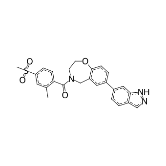 Cc1cc(S(C)(=O)=O)ccc1C(=O)N1CCOc2ccc(-c3ccc4cn[nH]c4c3)cc2C1